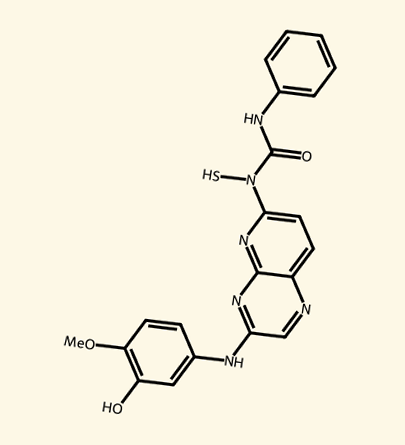 COc1ccc(Nc2cnc3ccc(N(S)C(=O)Nc4ccccc4)nc3n2)cc1O